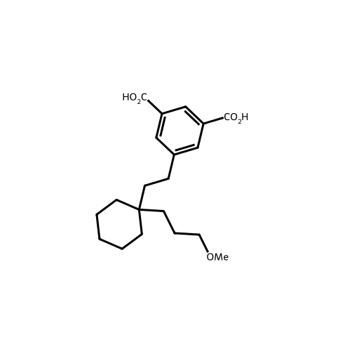 COCCCC1(CCc2cc(C(=O)O)cc(C(=O)O)c2)CCCCC1